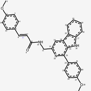 COc1ccc(/C=C/C(=O)NCc2cc3c([nH]c4ccccc43)c(-c3ccc(OC)cc3)n2)cc1